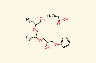 C=CC(=O)O.CC(CO)OCC(C)OCC(O)COc1ccccc1